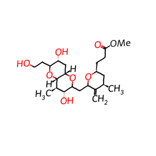 C=C1C(CC2O[C@H]3C[C@@H](O)C(CCO)O[C@H]3[C@H](C)[C@H]2O)O[C@@H](CCC(=O)OC)C[C@H]1C